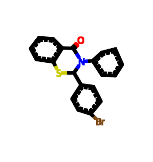 O=C1c2ccccc2SC(c2ccc(Br)cc2)N1c1ccccc1